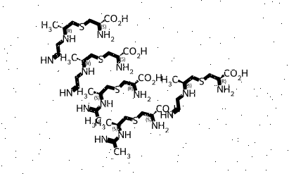 CC(=N)N[C@@H](C)CSC[C@@H](N)C(=O)O.CC(=N)N[C@@H](C)CSC[C@H](N)C(=O)O.C[C@@H](CSC[C@H](N)C(=O)O)NCC=N.C[C@H](CSC[C@@H](N)C(=O)O)NCC=N.C[C@H](CSC[C@@H](N)C(=O)O)NCC=N